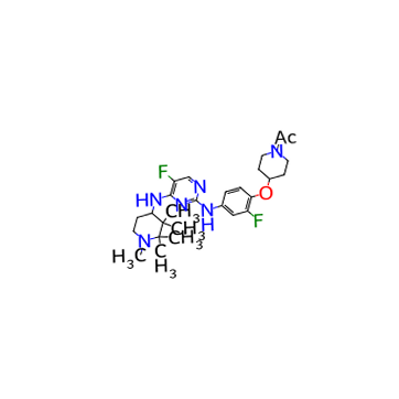 CC(=O)N1CCC(Oc2ccc(Nc3ncc(F)c(NC4CCN(C)C(C)(C)C4(C)C)n3)cc2F)CC1